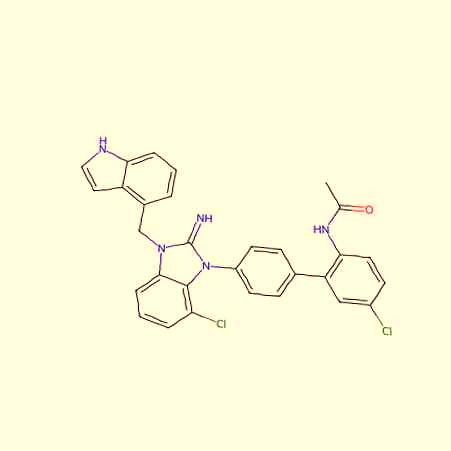 CC(=O)Nc1ccc(Cl)cc1-c1ccc(-n2c(=N)n(Cc3cccc4[nH]ccc34)c3cccc(Cl)c32)cc1